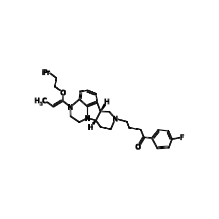 CC=C(OCCC(C)C)N1CCN2c3c(cccc31)[C@@H]1CN(CCCC(=O)c3ccc(F)cc3)CC[C@@H]12